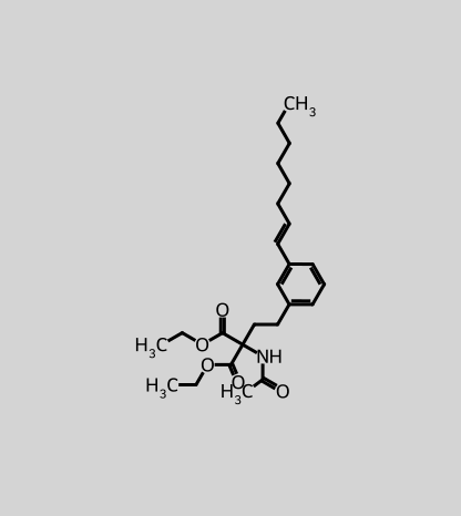 CCCCCCC=Cc1cccc(CCC(NC(C)=O)(C(=O)OCC)C(=O)OCC)c1